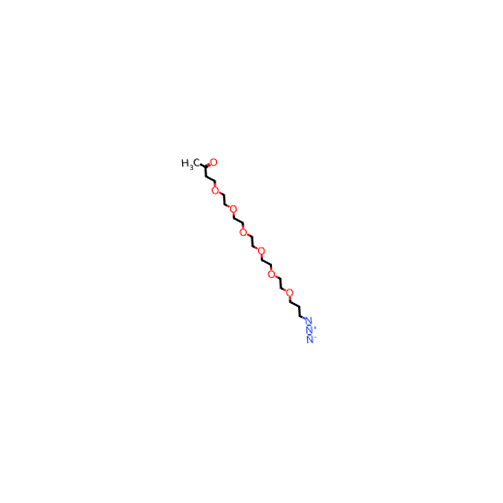 CC(=O)CCOCCOCCOCCOCCOCCOCCCN=[N+]=[N-]